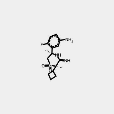 C[C@@]1(C2CCC2)C(=N)N[C@](C)(c2cc(N)ccc2F)CS1(=O)=O